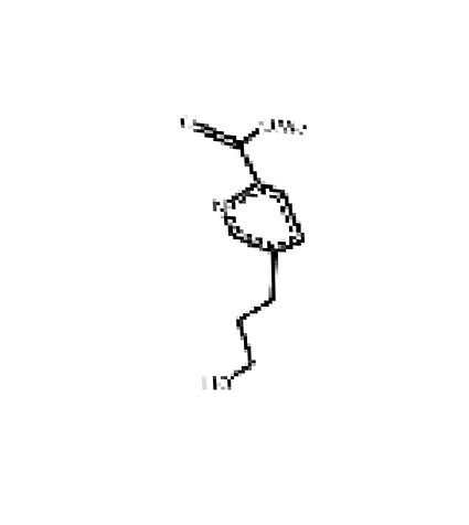 COC(=O)c1ccc(CCCO)cn1